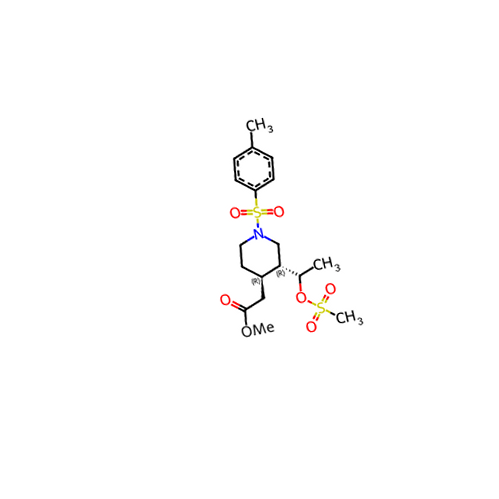 COC(=O)C[C@H]1CCN(S(=O)(=O)c2ccc(C)cc2)C[C@@H]1C(C)OS(C)(=O)=O